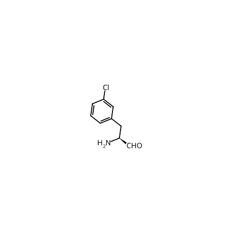 N[C@H](C=O)Cc1cccc(Cl)c1